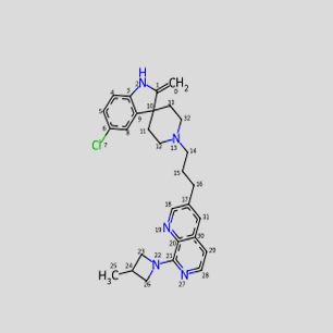 C=C1Nc2ccc(Cl)cc2C12CCN(CCCc1cnc3c(N4CC(C)C4)nccc3c1)CC2